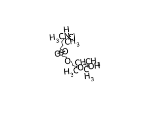 CC(C)(O)COC(C)(C)CCOCCS(=O)(=O)CCCC(C)(C)NCl